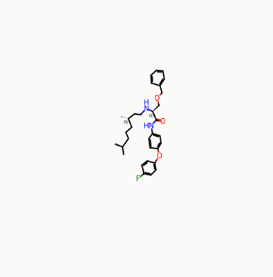 CC(C)CCC[C@H](C)CCN[C@@H](COCc1ccccc1)C(=O)Nc1ccc(Oc2ccc(F)cc2)cc1